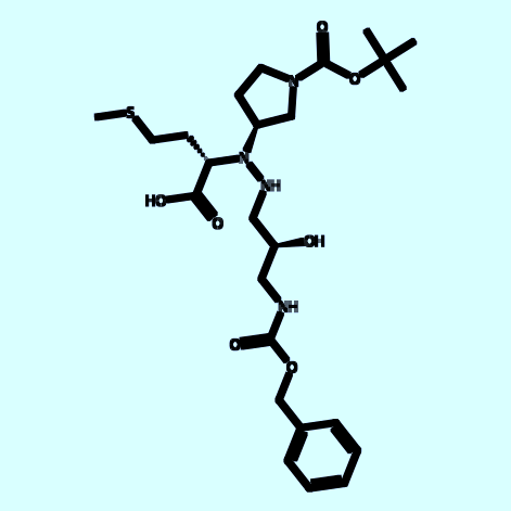 CSCC[C@@H](C(=O)O)N(NC[C@@H](O)CNC(=O)OCc1ccccc1)[C@H]1CCN(C(=O)OC(C)(C)C)C1